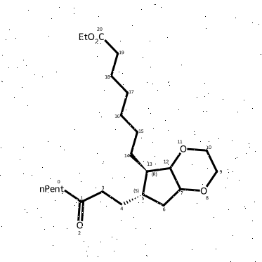 CCCCCC(=O)CC[C@H]1CC2OCCOC2[C@@H]1CCCCCCC(=O)OCC